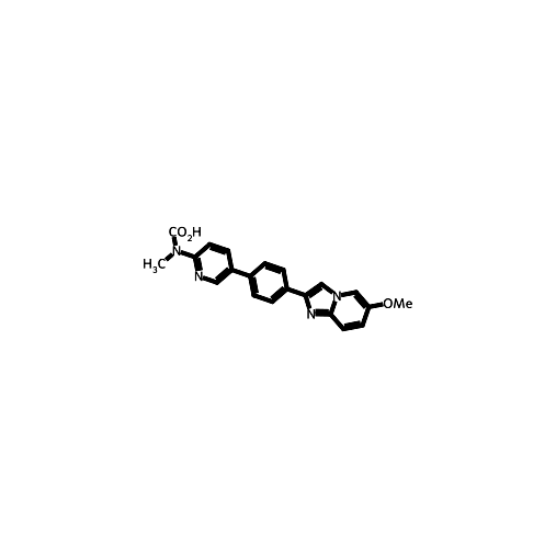 COc1ccc2nc(-c3ccc(-c4ccc(N(C)C(=O)O)nc4)cc3)cn2c1